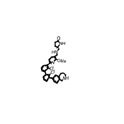 COc1nc(-c2cccc(-c3cccc(-c4ccc5c(c4)CCCNC5)c3Cl)c2Cl)ccc1CNC[C@H]1CCC(=O)N1